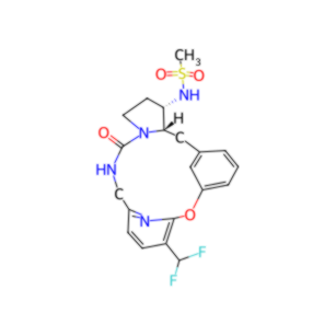 CS(=O)(=O)N[C@H]1CCN2C(=O)NCc3ccc(C(F)F)c(n3)Oc3cccc(c3)C[C@@H]12